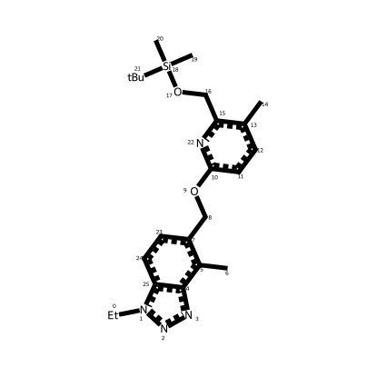 CCn1nnc2c(C)c(COc3ccc(C)c(CO[Si](C)(C)C(C)(C)C)n3)ccc21